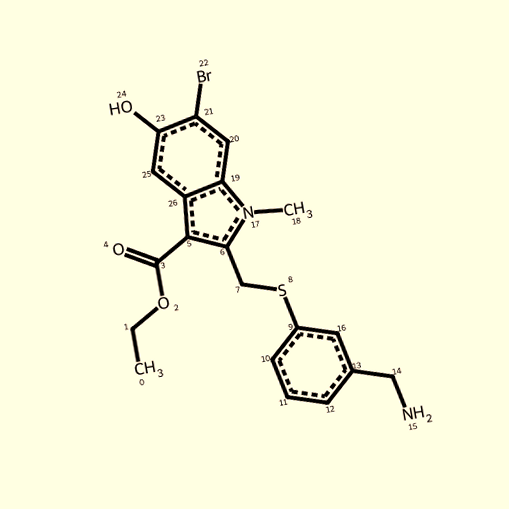 CCOC(=O)c1c(CSc2cccc(CN)c2)n(C)c2cc(Br)c(O)cc12